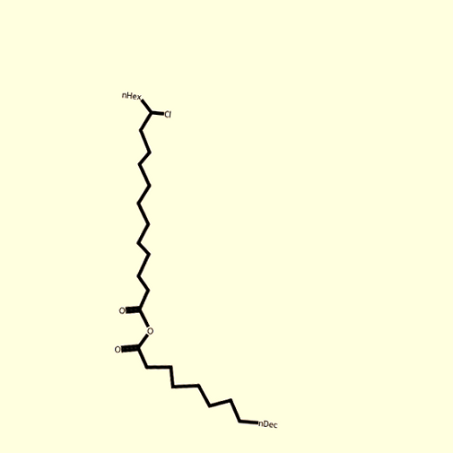 CCCCCCCCCCCCCCCCCC(=O)OC(=O)CCCCCCCCCCC(Cl)CCCCCC